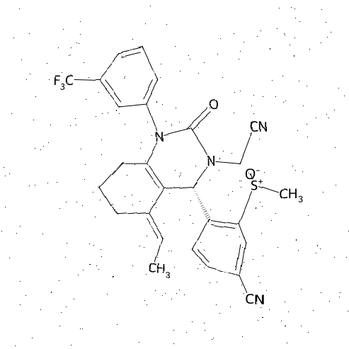 CC=C1CCCC2=C1[C@@H](c1ccc(C#N)cc1[S+](C)[O-])N(CC#N)C(=O)N2c1cccc(C(F)(F)F)c1